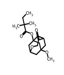 CCC(C)(C)C(=O)OC12CC3CC(OC)(CC(C1)C(=O)CO3)C2